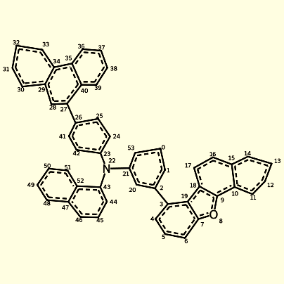 c1cc(-c2cccc3oc4c5ccccc5ccc4c23)cc(N(c2ccc(-c3cc4ccccc4c4ccccc34)cc2)c2cccc3ccccc23)c1